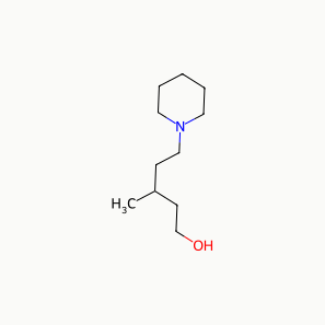 CC(CCO)CCN1CCCCC1